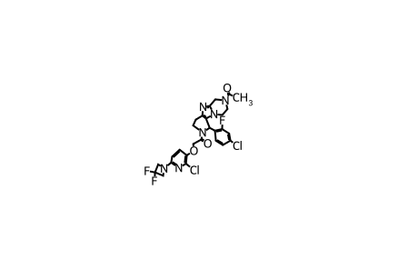 CC(=O)N1CCn2c(nc3c2C(c2ccc(Cl)cc2F)N(C(=O)COc2ccc(N4CC(F)(F)C4)nc2Cl)CC3)C1